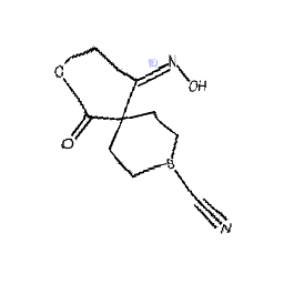 N#CB1CCC2(CC1)C(=O)OC/C2=N/O